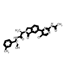 CC(=O)Nc1ncc(Cl)c(-c2ccc3c(c2)C(=O)N([C@H](C)C(=O)N[C@H](CO)c2cccc(C)c2)C3)n1